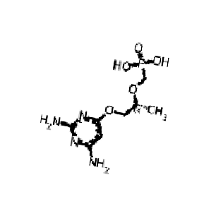 C[C@H](COc1cc(N)nc(N)n1)OCP(=O)(O)O